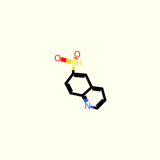 O=[SH](=O)c1ccc2ncccc2c1